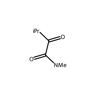 CNC(=O)C(=O)C(C)C